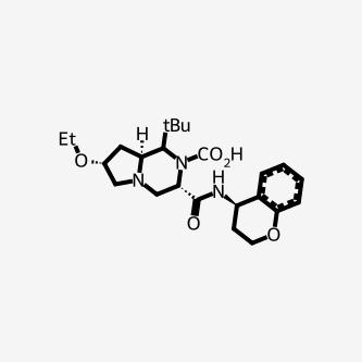 CCO[C@@H]1C[C@H]2C(C(C)(C)C)N(C(=O)O)[C@H](C(=O)N[C@@H]3CCOc4ccccc43)CN2C1